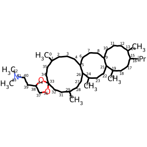 CC1CCCC2CCCC3CCCC(C)C(C(C)C)CCC(C)C3CCC(C)C2CCC(C)CCC2(CC1)OCC(CCN(C)C)O2